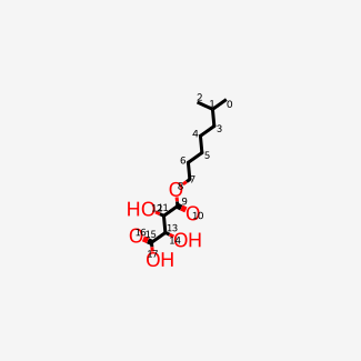 CC(C)CCCCCOC(=O)C(O)C(O)C(=O)O